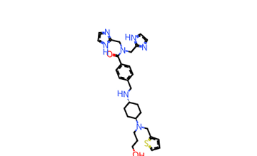 O=C(c1ccc(CN[C@H]2CC[C@H](N(CCCO)Cc3cccs3)CC2)cc1)N(Cc1ncc[nH]1)Cc1ncc[nH]1